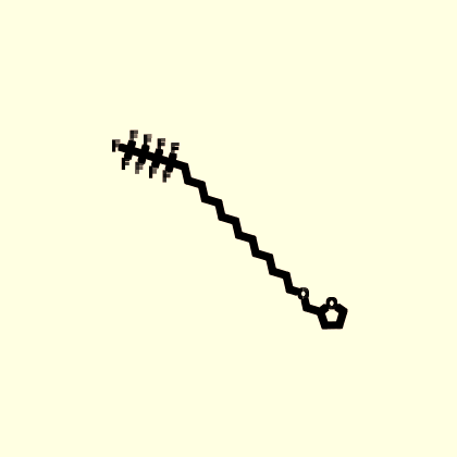 FC(F)(F)C(F)(F)C(F)(F)C(F)(F)CCCCCCCCCCCCCCOCC1CCCO1